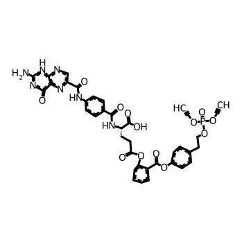 C#COP(=O)(OC#C)OCCc1ccc(OC(=O)c2ccccc2OC(=O)CC[C@H](NC(=O)c2ccc(NC(=O)c3cnc4[nH]c(N)nc(=O)c4n3)cc2)C(=O)O)cc1